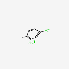 Cc1ccc(Cl)cc1.Cl